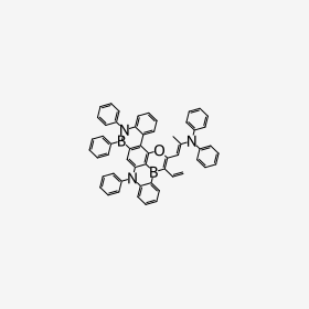 C=CC1=C(/C=C(\C)N(c2ccccc2)c2ccccc2)Oc2c3c(cc4c2-c2ccccc2N(c2ccccc2)B4c2ccccc2)N(c2ccccc2)c2ccccc2B13